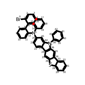 Brc1ccccc1-c1ccccc1N(c1ccccc1)c1ccc2c3cc4sc5ccccc5c4cc3n(-c3ccccc3)c2c1